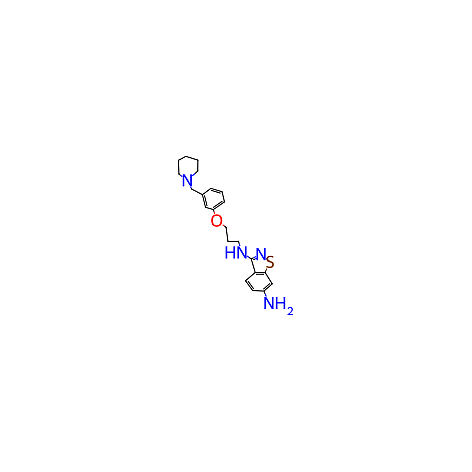 Nc1ccc2c(NCCCOc3cccc(CN4CCCCC4)c3)nsc2c1